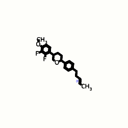 C/C=C/CCc1ccc(C2CCC(c3ccc(OC)c(F)c3F)CO2)cc1